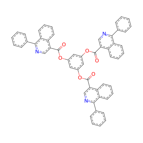 O=C(Oc1cc(OC(=O)c2cnc(-c3ccccc3)c3ccccc23)cc(OC(=O)c2cnc(-c3ccccc3)c3ccccc23)c1)c1cnc(-c2ccccc2)c2ccccc12